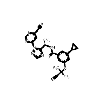 C[C@H](NC(=O)c1cc(OC(C)(C)C#N)cc(C2CC2)c1)c1ncnn1-c1cc(C#N)ncn1